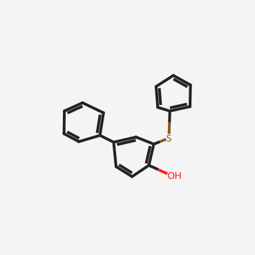 Oc1ccc(-c2ccccc2)cc1Sc1ccccc1